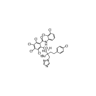 CC(C)(C)C(O)(CCc1ccc(Cl)cc1)Cn1cncn1.O=C(O)c1c(Cl)c(Cl)c(Cl)c(Cl)c1C(=O)Nc1cccc(Cl)c1Cl